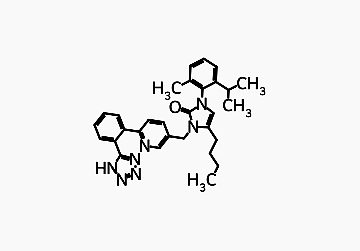 CCCCc1cn(-c2c(C)cccc2C(C)C)c(=O)n1Cc1ccc(-c2ccccc2-c2nnn[nH]2)nc1